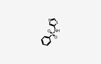 O=S(=O)(Nc1cncs1)c1ccccc1